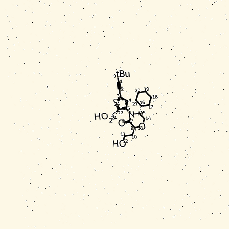 CC(C)(C)C#Cc1cc(N2C(=O)[C@H](CCO)OC[C@H]2C2CCCCC2)c(C(=O)O)s1